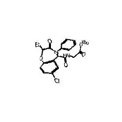 CCC1Oc2ccc(Cl)cc2C(C(=O)NCC(=O)OC(C)(C)C)N(c2ccccc2)C1=O